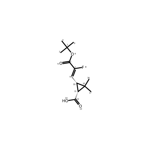 CC(C)(C)OC(=O)C(F)=C[C@H]1[C@@H](C(=O)O)C1(C)C